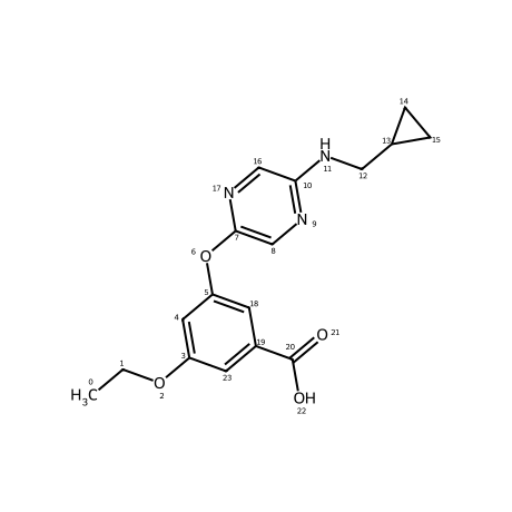 CCOc1cc(Oc2cnc(NCC3CC3)cn2)cc(C(=O)O)c1